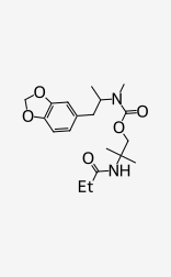 CCC(=O)NC(C)(C)COC(=O)N(C)C(C)Cc1ccc2c(c1)OCO2